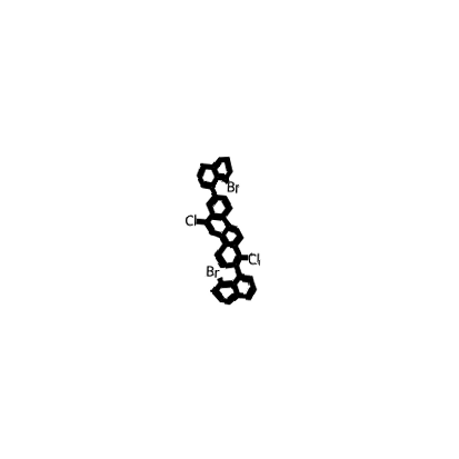 Clc1cc2c3ccc(-c4cccc5cccc(Br)c45)c(Cl)c3ccc2c2ccc(-c3cccc4cccc(Br)c34)cc12